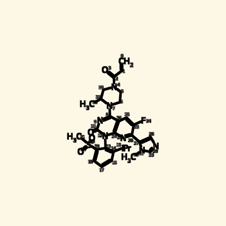 C=CC(=O)N1CCN(c2nc(=O)n(-c3c(C(C)C)cccc3S(C)(=O)=O)c3nc(-c4cncn4C)c(F)cc23)C(C)C1